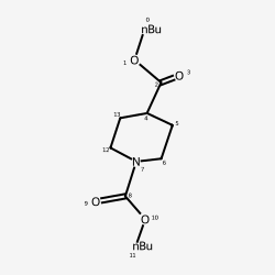 CCCCOC(=O)C1CCN(C(=O)OCCCC)CC1